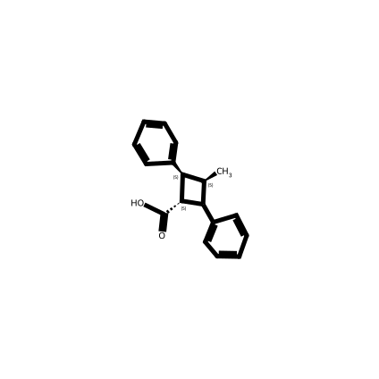 C[C@H]1C(c2ccccc2)[C@H](C(=O)O)[C@H]1c1ccccc1